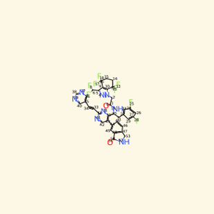 O=C(Cn1nc(C(F)F)c2c1C(F)(F)CCC2(F)F)N[C@@H](Cc1cc(F)cc(F)c1)c1nc(C#Cc2cncnc2)ncc1-c1ccc2c(c1)C(=O)NC2